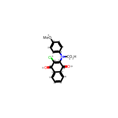 COc1ccc(N(C(=O)O)C2=C(Cl)C(=O)c3ccccc3C2=O)cc1